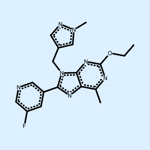 CCOc1nc(C)c2nc(-c3cncc(F)c3)n(Cc3cnn(C)c3)c2n1